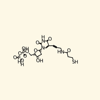 O=C(CCS)NCC#Cc1cn([C@H]2C[C@H](O)[C@@H](COP(=O)(O)O[PH](=O)O)O2)c(=O)[nH]c1=O